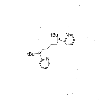 CC(C)(C)P(CCCCP(c1ccccn1)C(C)(C)C)c1ccccn1